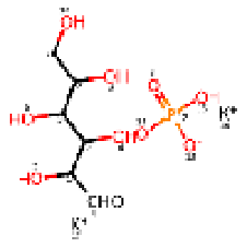 O=CC(O)C(O)C(O)C(O)CO.O=P([O-])([O-])O.[K+].[K+]